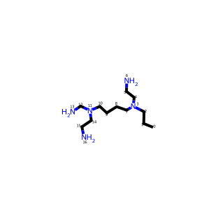 CCCN(CCN)CCCCN(CN)CCN